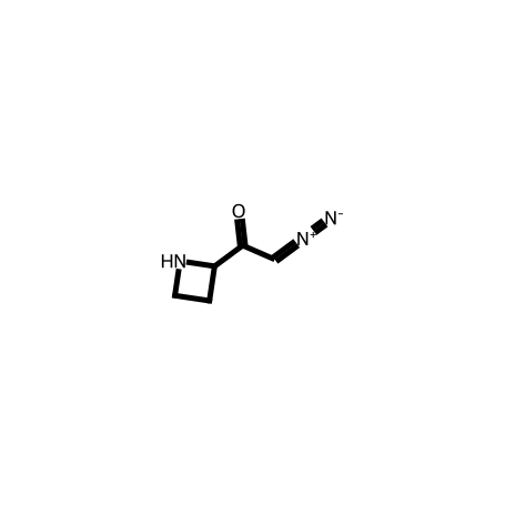 [N-]=[N+]=CC(=O)C1CCN1